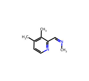 C/N=C\c1nccc(C)c1C